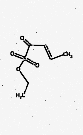 CC=CC(=O)S(=O)(=O)OCC